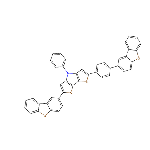 c1ccc(-n2c3cc(-c4ccc(-c5ccc6sc7ccccc7c6c5)cc4)sc3c3sc(-c4ccc5sc6ccccc6c5c4)cc32)cc1